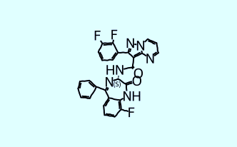 O=C(N[C@H]1N=C(c2ccccc2)c2cccc(F)c2NC1=O)c1c(-c2cccc(F)c2F)nn2cccnc12